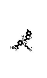 Cc1ccc2c(c1)CC(C(=O)Nc1ccc(-c3cn[nH]c3)cc1OCCCN(C)C)CO2